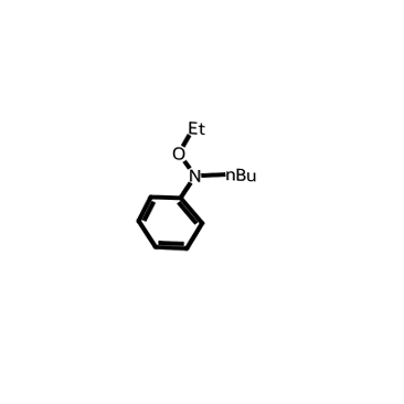 CCCCN(OCC)c1ccccc1